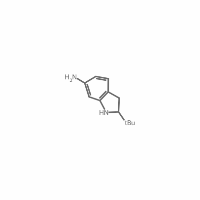 CC(C)(C)C1Cc2ccc(N)cc2N1